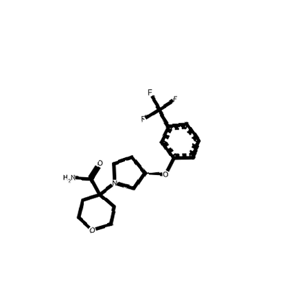 NC(=O)C1(N2CC[C@@H](Oc3cccc(C(F)(F)F)c3)C2)CCOCC1